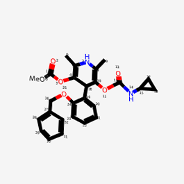 COC(=O)OC1=C(C)NC(C)=C(OC(=O)NC2CC2)C1c1ccccc1OCc1ccccc1